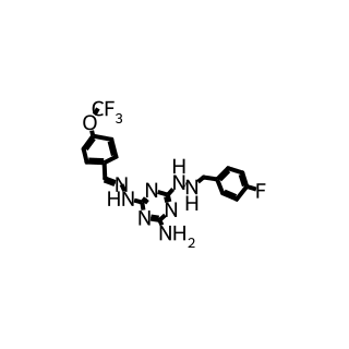 Nc1nc(NN=Cc2ccc(OC(F)(F)F)cc2)nc(NNCc2ccc(F)cc2)n1